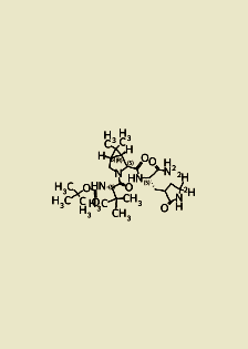 [2H]C1([2H])CC(C[C@H](NC(=O)[C@@H]2[C@@H]3[C@H](CN2C(=O)[C@@H](NC(=O)OC(C)(C)C)C(C)(C)C)C3(C)C)C(N)=O)C(=O)N1